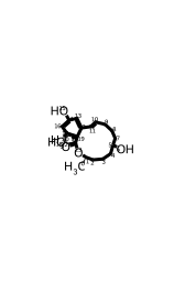 C[C@H]1CCCC(O)CCC/C=C/C2=CC(O)=CC(O)C2(C)C(=O)O1